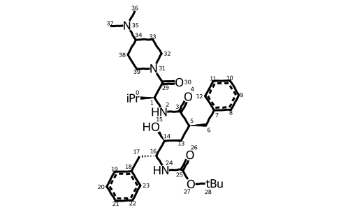 CC(C)[C@H](NC(=O)[C@@H](Cc1ccccc1)C[C@H](O)[C@@H](Cc1ccccc1)NC(=O)OC(C)(C)C)C(=O)N1CCC(N(C)C)CC1